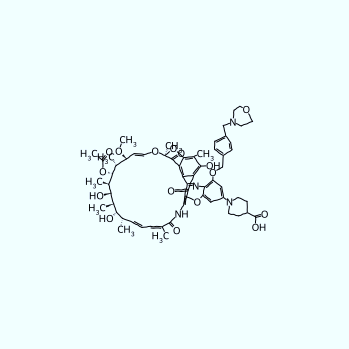 CO[C@H]1/C=C/O[C@@]2(C)Oc3c(C)c(O)c4c(=O)c(c5oc6cc(N7CCC(C(=O)O)CC7)cc(OCc7ccc(CN8CCOCC8)cc7)c6nc-5c4c3C2=O)NC(=O)/C(C)=C\C=C\[C@H](C)[C@H](O)[C@@H](C)[C@@H](O)[C@@H](C)[C@H](OC(C)=O)[C@@H]1C